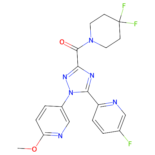 COc1ccc(-n2nc(C(=O)N3CCC(F)(F)CC3)nc2-c2ccc(F)cn2)cn1